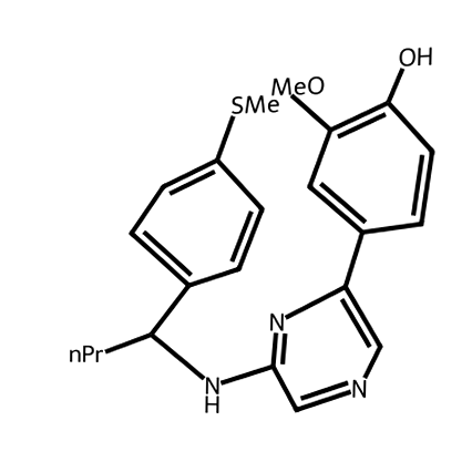 CCCC(Nc1cncc(-c2ccc(O)c(OC)c2)n1)c1ccc(SC)cc1